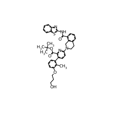 Cc1c(OCCCO)cccc1-c1ccc(N2CCc3cccc(C(=O)Nc4nc5ccccc5s4)c3C2)nc1C(=O)OC(C)(C)C